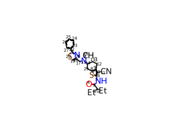 CCC(CC)C(=O)Nc1sc2c(c1C#N)CCC(N(C)Cc1csc(-c3ccccc3)n1)C2